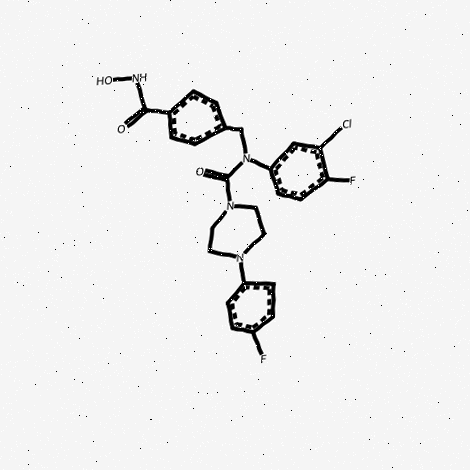 O=C(NO)c1ccc(CN(C(=O)N2CCN(c3ccc(F)cc3)CC2)c2ccc(F)c(Cl)c2)cc1